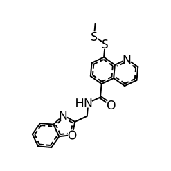 CSSc1ccc(C(=O)NCc2nc3ccccc3o2)c2cccnc12